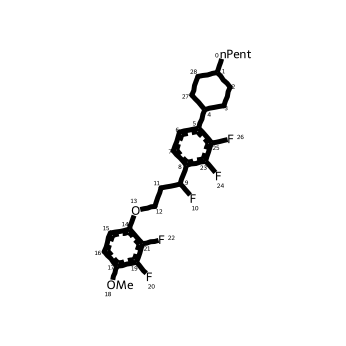 CCCCCC1CCC(c2ccc(C(F)CCOc3ccc(OC)c(F)c3F)c(F)c2F)CC1